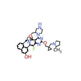 C#Cc1cccc2cc(O)cc(-c3nc4c5c(nc(OCC6(CN7CCCC7C)CC6)nc5c3F)N3CCNCC3CO4)c12